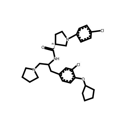 O=C(NC(Cc1ccc(OC2CCCC2)c(Cl)c1)CN1CCCC1)[C@@H]1CCN(c2ccc(Cl)cc2)C1